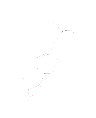 CC(=O)OCc1ccc(CC(=O)O)cc1